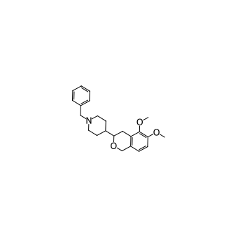 COc1ccc2c(c1OC)CC(C1CCN(Cc3ccccc3)CC1)OC2